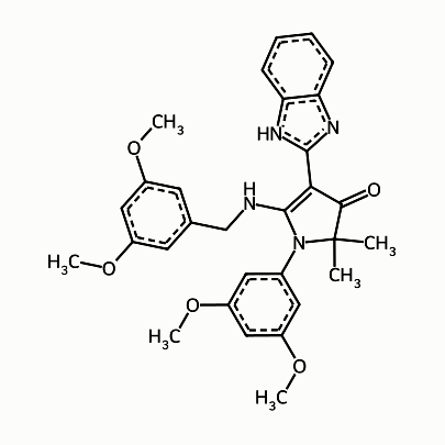 COc1cc(CNC2=C(c3nc4ccccc4[nH]3)C(=O)C(C)(C)N2c2cc(OC)cc(OC)c2)cc(OC)c1